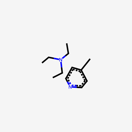 CCN(CC)CC.Cc1ccncc1